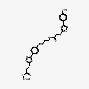 CCCCCNC(=O)CSc1nc(-c2ccc(OCCCNC(=O)CSc3nc(-c4ccc(OC)cc4)ns3)cc2)ns1